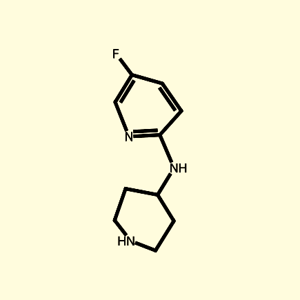 Fc1ccc(NC2CCNCC2)nc1